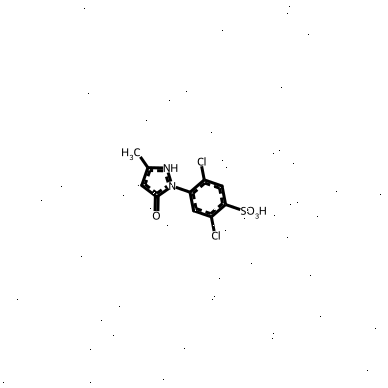 Cc1[c]c(=O)n(-c2cc(Cl)c(S(=O)(=O)O)cc2Cl)[nH]1